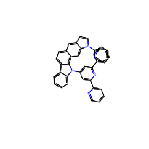 c1ccc(-n2ccc3cc4ccc5c6ccccc6n(-c6cc(-c7ccccn7)nc(-c7ccccn7)c6)c5c4cc32)cc1